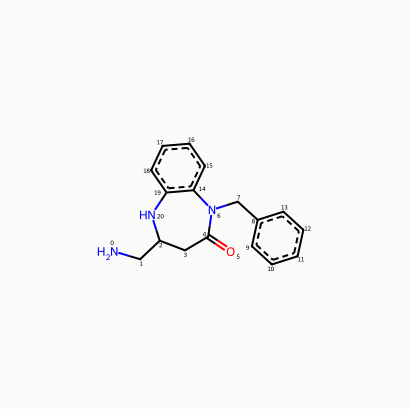 NCC1CC(=O)N(Cc2ccccc2)c2ccccc2N1